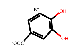 O=C([O-])c1ccc(O)c(O)c1.[K+]